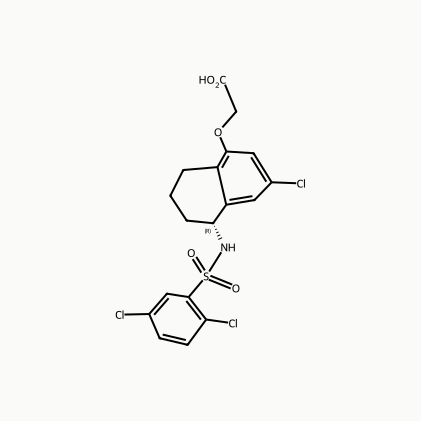 O=C(O)COc1cc(Cl)cc2c1CCC[C@H]2NS(=O)(=O)c1cc(Cl)ccc1Cl